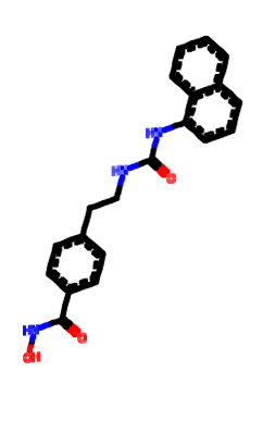 O=C(NCCc1ccc(C(=O)NO)cc1)Nc1cccc2ccccc12